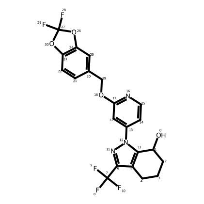 OC1CCCc2c(C(F)(F)F)nn(-c3ccnc(OCc4ccc5c(c4)OC(F)(F)O5)c3)c21